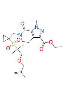 C=C(C)COCC(C)(C)S(=O)(=O)C1(CN2CCc3c(C(=O)OCC)nn(C)c3C2=O)CC1